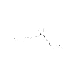 COCCOCC(COCCOC)OCC(C)C